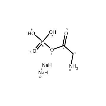 NCC(=O)OP(=O)(O)O.[NaH].[NaH]